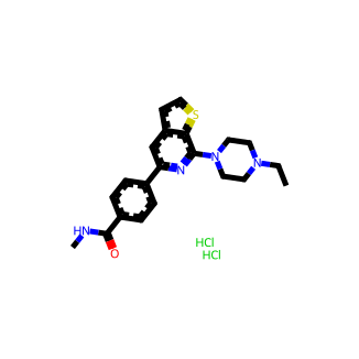 CCN1CCN(c2nc(-c3ccc(C(=O)NC)cc3)cc3ccsc23)CC1.Cl.Cl